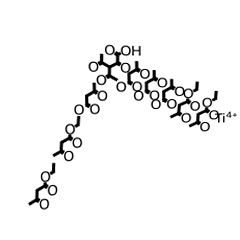 CC(=O)C(C(C)=O)C(=O)C(=O)O.CC(=O)CC(=O)[O-].CC(=O)CC(=O)[O-].CC(=O)CC(=O)[O-].CC(=O)CC(=O)[O-].CCOC(=O)CC(C)=O.CCOC(=O)CC(C)=O.CCOC(=O)CC(C)=O.CCOC(=O)CC(C)=O.[Ti+4]